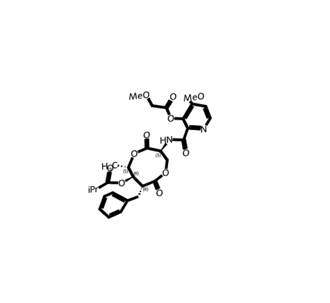 COCC(=O)Oc1c(OC)ccnc1C(=O)N[C@H]1COC(=O)[C@H](Cc2ccccc2)[C@@H](OC(=O)C(C)C)[C@H](C)OC1=O